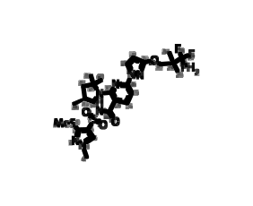 CSc1nn(C)cc1S(=O)(=O)NC(=O)c1ccc(-n2ccc(OCC(C)(C)C(F)(F)P)n2)nc1N1C[C@@H](C)CC1(C)C